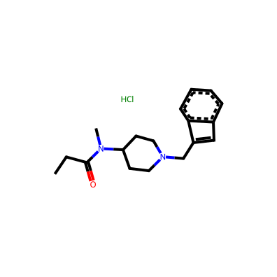 CCC(=O)N(C)C1CCN(CC2=Cc3ccccc32)CC1.Cl